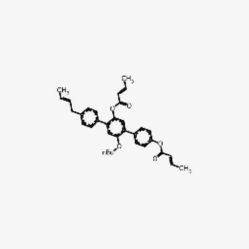 C/C=C/Cc1ccc(-c2cc(OCCCC)c(-c3ccc(OC(=O)/C=C/C)cc3)cc2OC(=O)/C=C/C)cc1